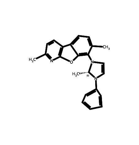 Cc1ccc2c(n1)oc1c(N3C=CN(c4ccccc4)[C@@H]3C)c(C)ccc12